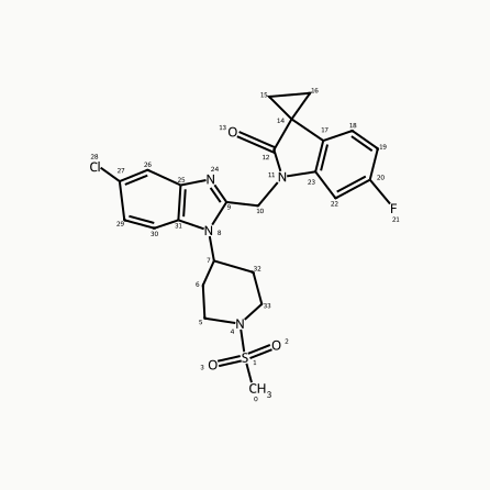 CS(=O)(=O)N1CCC(n2c(CN3C(=O)C4(CC4)c4ccc(F)cc43)nc3cc(Cl)ccc32)CC1